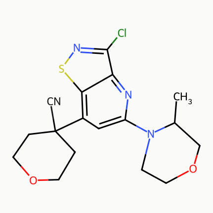 CC1COCCN1c1cc(C2(C#N)CCOCC2)c2snc(Cl)c2n1